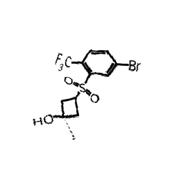 C[C@]1(O)C[C@@H](S(=O)(=O)c2cc(Br)ccc2C(F)(F)F)C1